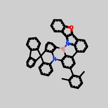 Cc1cccc(C)c1-c1cc2c3c(c1)N1c4ccccc4C4(c5ccccc5-c5ccccc54)c4cccc(c41)B3n1c3c-2cccc3c2oc3ccccc3c21